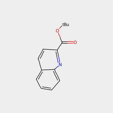 CC(C)(C)OC(=O)c1ccc2ccccc2n1